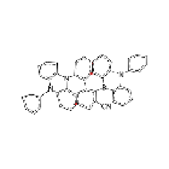 N#Cc1cccc(-c2ccccc2N2c3ccccc3N(c3ccccc3)c3ccccc32)c1B1c2ccccc2N(c2ccccc2)c2ccccc21